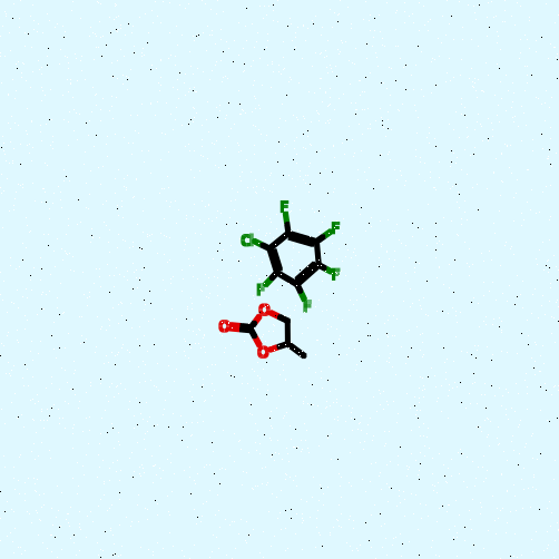 CC1COC(=O)O1.Fc1c(F)c(F)c(Cl)c(F)c1F